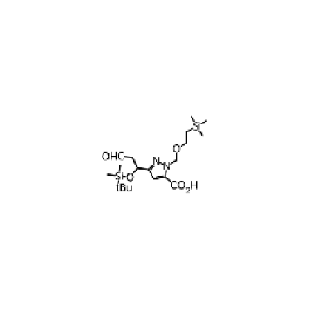 CC(C)(C)[Si](C)(C)OC(CC=O)c1cc(C(=O)O)n(COCC[Si](C)(C)C)n1